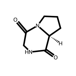 O=C1NCC(=O)N2CCC[C@@H]12